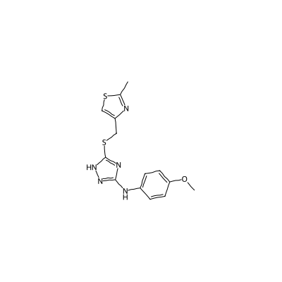 COc1ccc(Nc2n[nH]c(SCc3csc(C)n3)n2)cc1